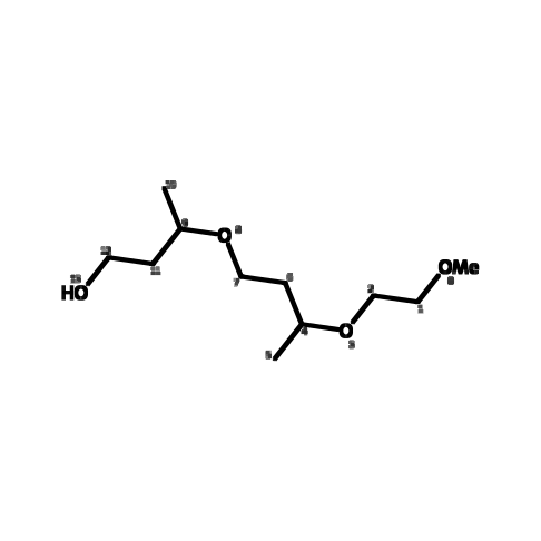 COCCOC(C)CCOC(C)CCO